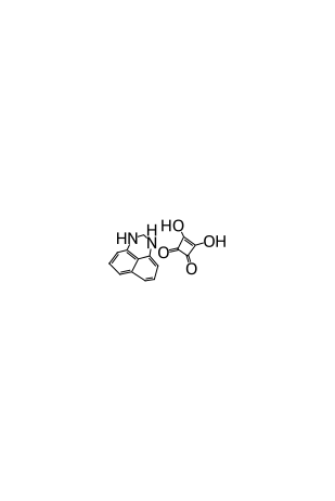 O=c1c(O)c(O)c1=O.c1cc2c3c(cccc3c1)NCN2